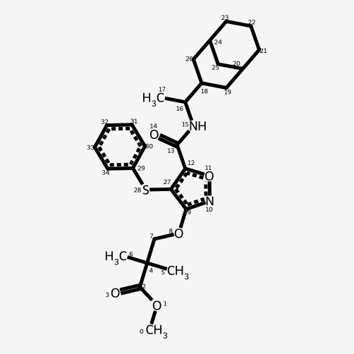 COC(=O)C(C)(C)COc1noc(C(=O)NC(C)C2CC3CCCC(C3)C2)c1Sc1ccccc1